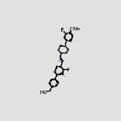 COc1ccc(C2CCC(/C=C/c3ccc(-c4ccc(CO)cc4)c(F)c3F)CC2)cc1F